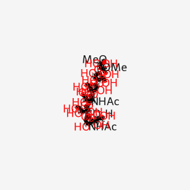 COC(O)[C@@H](O)[C@H](O[C@@H]1OC(CO)[C@H](O[C@H]2OC(CO)[C@H](O)[C@H](O[C@@H]3OC(CO)[C@H](O)C(O[C@@H]4OC(CO)[C@H](O)C(O[C@]5(C(=O)O)C[C@@H](O)[C@@H](NC(C)=O)C([C@H](O)[C@H](O)CO)O5)[C@@H]4O)[C@@H]3NC(C)=O)C2O)C(O)[C@@H]1O)C(CO)OC